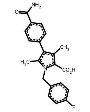 Cc1c(-c2ccc(C(N)=O)cc2)c(C)n(Cc2ccc(F)cc2)c1C(=O)O